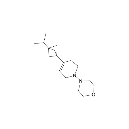 CC(C)C12CC(C3=CCN(N4CCOCC4)CC3)(C1)C2